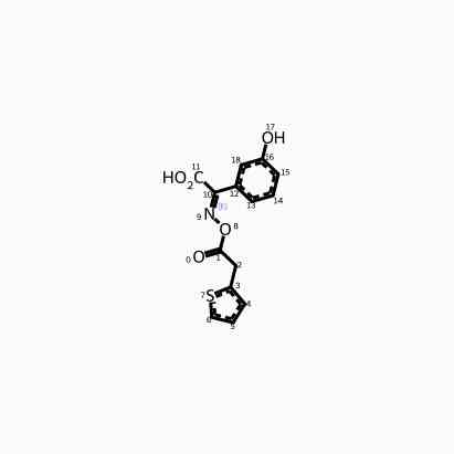 O=C(Cc1cccs1)O/N=C(/C(=O)O)c1cccc(O)c1